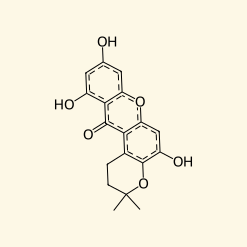 CC1(C)CCc2c(c(O)cc3oc4cc(O)cc(O)c4c(=O)c23)O1